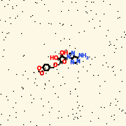 Nc1ncnc2c1ncn2[C@@H]1O[C@H](COCc2ccc3c(c2)OCO3)[C@@H](O)[C@H]1O